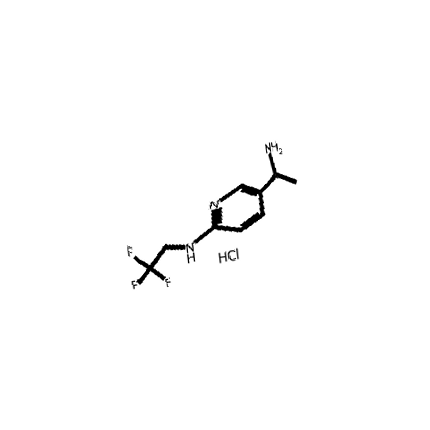 CC(N)c1ccc(NCC(F)(F)F)nc1.Cl